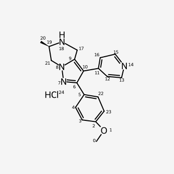 COc1ccc(-c2nn3c(c2-c2ccncc2)CN[C@H](C)C3)cc1.Cl